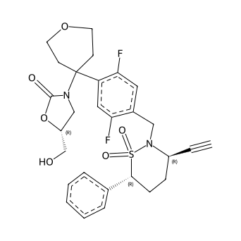 C#C[C@H]1CC[C@H](c2ccccc2)S(=O)(=O)N1Cc1cc(F)c(C2(N3C[C@H](CO)OC3=O)CCOCC2)cc1F